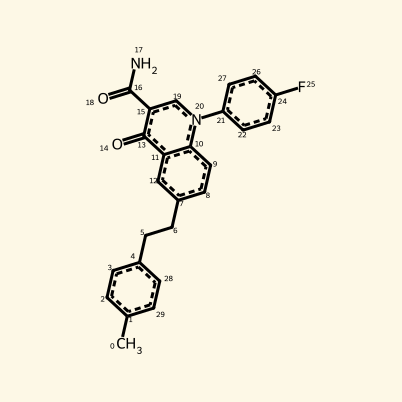 Cc1ccc(CCc2ccc3c(c2)c(=O)c(C(N)=O)cn3-c2ccc(F)cc2)cc1